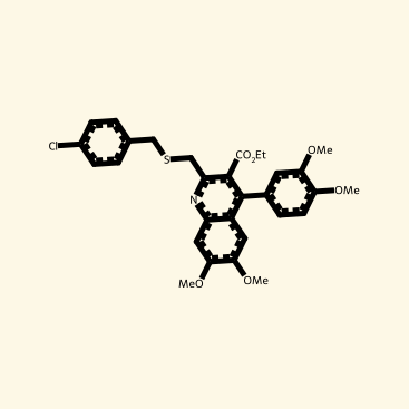 CCOC(=O)c1c(CSCc2ccc(Cl)cc2)nc2cc(OC)c(OC)cc2c1-c1ccc(OC)c(OC)c1